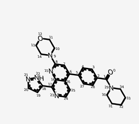 O=C(c1ccc(-c2cc(N3CCOCC3)nc3c(-c4ccn[nH]4)nccc23)cc1)N1CCCCC1